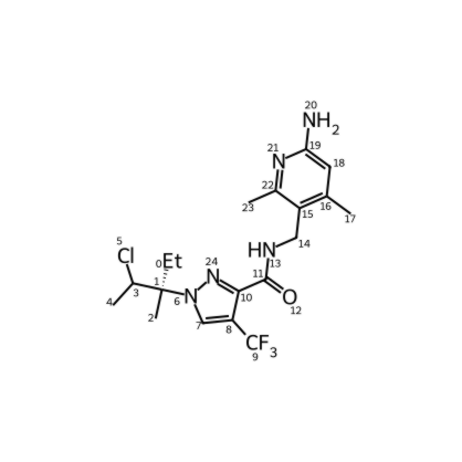 CC[C@](C)(C(C)Cl)n1cc(C(F)(F)F)c(C(=O)NCc2c(C)cc(N)nc2C)n1